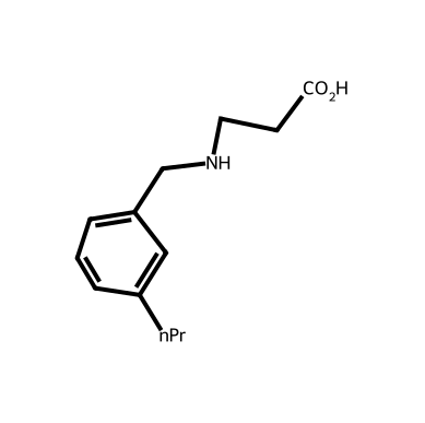 CCCc1cccc(CNCCC(=O)O)c1